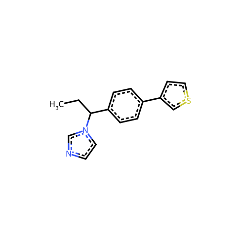 CCC(c1ccc(-c2ccsc2)cc1)n1ccnc1